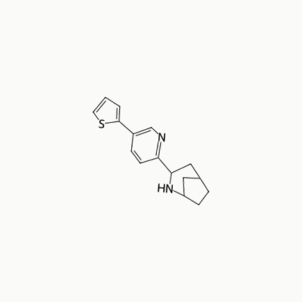 c1csc(-c2ccc(C3CC4CCC(C4)N3)nc2)c1